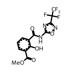 COC(=O)c1cccc(C(=O)Nc2nc(C(F)(F)C(F)(F)F)no2)c1O